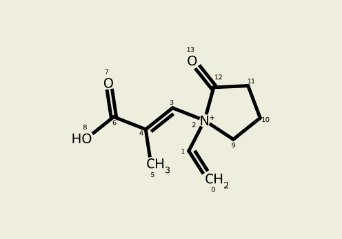 C=C[N+]1(C=C(C)C(=O)O)CCCC1=O